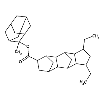 CCC1CC(CC)C2C3CC(C12)C1C2CC(C(=O)OC4(C)C5CC6CC(C5)CC4C6)C(C2)C31